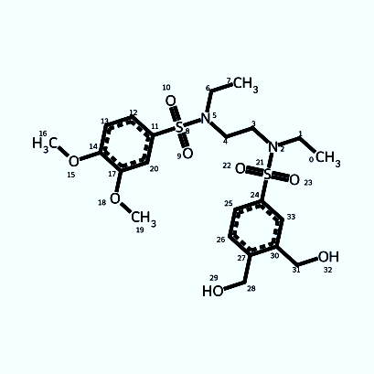 CCN(CCN(CC)S(=O)(=O)c1ccc(OC)c(OC)c1)S(=O)(=O)c1ccc(CO)c(CO)c1